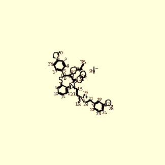 COc1ccc([C@@H]2Sc3ccccc3N(CC[N+](C)(C)CCc3cccc(OC)c3)C(=O)[C@@H]2OC(C)=O)cc1.[I-]